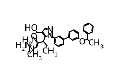 CCC(/C(N)=C/N(C)N)c1c(C(=O)O)cnn1-c1cccc(-c2cccc(OC(C)c3ccccc3)c2)c1